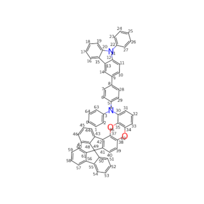 c1ccc(N(c2ccc(-c3ccc4c(c3)c3ccccc3n4-c3ccccc3)cc2)c2cccc3c2Oc2c(ccc4c2-c2ccccc2C42c4ccccc4-c4ccccc42)O3)cc1